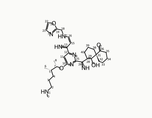 CNCCC[C@H](C)[C@H](C)Oc1cc(C(=N)/C=C\NCc2ncco2)nc(C(=N)C2=C(O)[C@]3(CCCCC3=O)CCC2)n1